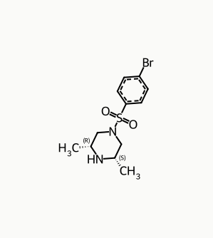 C[C@@H]1CN(S(=O)(=O)c2ccc(Br)cc2)C[C@H](C)N1